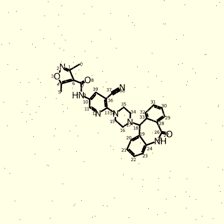 Cc1noc(C)c1C(=O)Nc1cnc(N2CCN(C3c4ccccc4NC(=O)c4ccccc43)CC2)c(C#N)c1